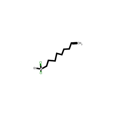 C=CCCCCCCC[Si](Cl)(Cl)CC